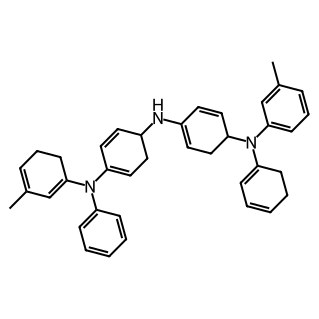 CC1=CCCC(N(C2=CCC(NC3=CCC(N(C4=CC=CCC4)c4cccc(C)c4)C=C3)C=C2)c2ccccc2)=C1